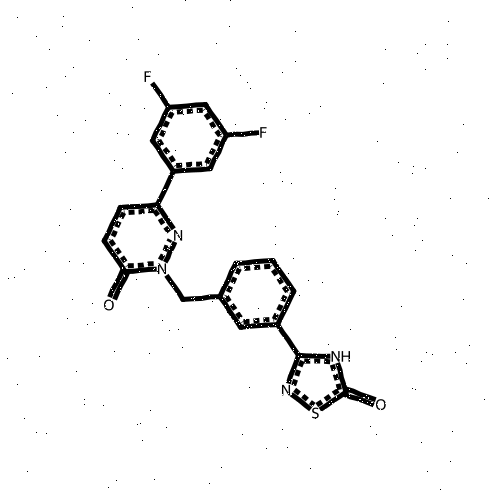 O=c1[nH]c(-c2cccc(Cn3nc(-c4cc(F)cc(F)c4)ccc3=O)c2)ns1